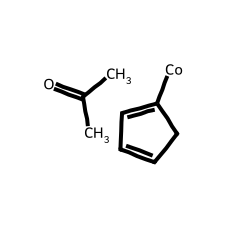 CC(C)=O.[Co][C]1=CC=CC1